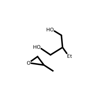 CC1CO1.CCC(CO)CO